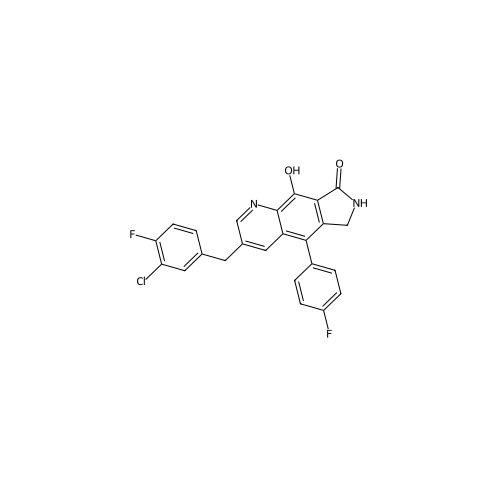 O=C1NCc2c1c(O)c1ncc(Cc3ccc(F)c(Cl)c3)cc1c2-c1ccc(F)cc1